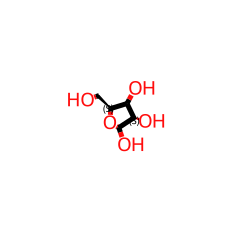 OC[C@@H]1OC(O)[C@@H](O)C1O